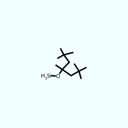 CC(C)(C)CC(C)(CC(C)(C)C)O[SiH3]